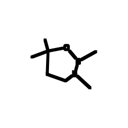 CB1CCC(C)(C)OB1C